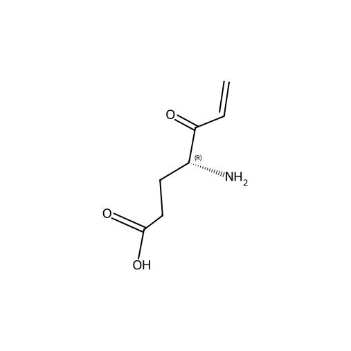 C=CC(=O)[C@H](N)CCC(=O)O